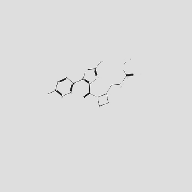 CCc1ccc(-c2sc(C)nc2C(=O)N2CCC2CNC(=O)OC(C)(C)C)cc1